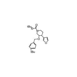 CC(C)(C)OC(=O)N1CCC(c2ccoc2)C(OCc2ccc(C(C)(C)C)cc2)C1